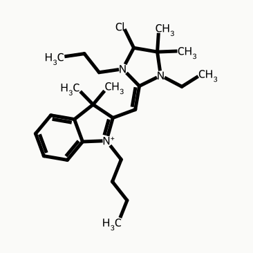 CCCC[N+]1=C(/C=C2\N(CCC)C(Cl)C(C)(C)N2CC)C(C)(C)c2ccccc21